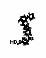 Cc1ccc(N2CCCC2)cc1CN1CCC2(CCN(C(=O)n3ccc(C(=O)O)n3)CC2)C1